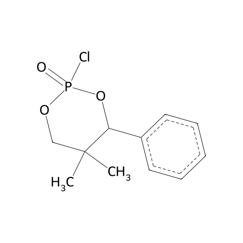 CC1(C)COP(=O)(Cl)OC1c1ccccc1